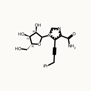 CC(C)CC#Cc1c(C(N)=O)ncn1C1O[C@H](CO)[C@@H](O)[C@H]1O